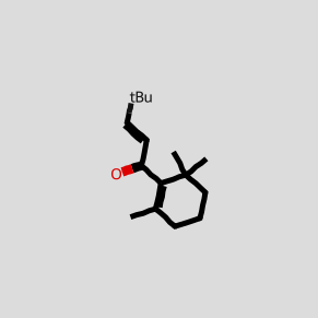 CC1=C(C(=O)/C=C/C(C)(C)C)C(C)(C)CCC1